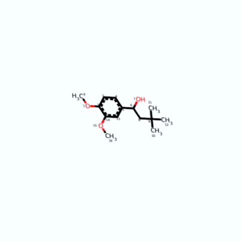 COc1ccc(C(O)CC(C)(C)C)cc1OC